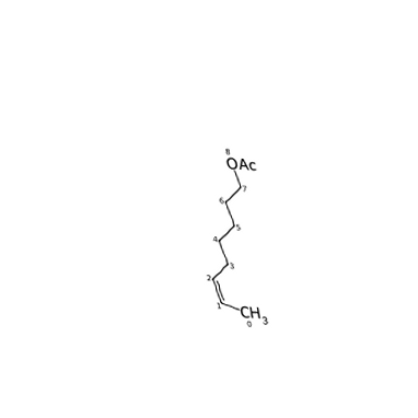 C/C=C\CCCCCOC(C)=O